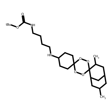 CC1CC2CC(C)C3(OOC4(CCC(NCCCCNC(=O)OC(C)(C)C)CC4)OO3)C(C1)C2